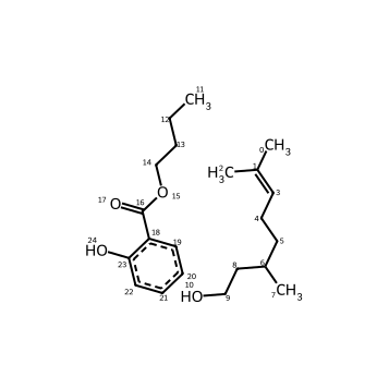 CC(C)=CCCC(C)CCO.CCCCOC(=O)c1ccccc1O